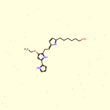 CCOc1cc(-c2ccc[nH]2)[nH]c1CC=C1C=CC(CCCCCCO)=N1